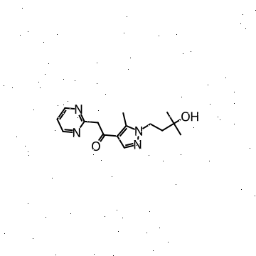 Cc1c(C(=O)Cc2ncccn2)cnn1CCC(C)(C)O